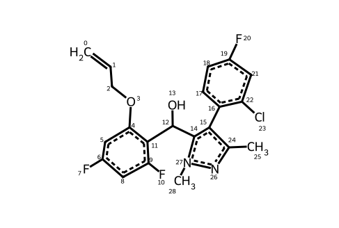 C=CCOc1cc(F)cc(F)c1C(O)c1c(-c2ccc(F)cc2Cl)c(C)nn1C